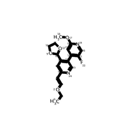 CCO/C=C/c1cc(C2OCCO2)c(-c2cc(OC)ncc2F)cn1